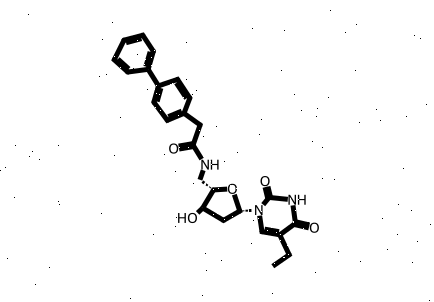 CCc1cn([C@@H]2CC(O)[C@H](CNC(=O)Cc3ccc(-c4ccccc4)cc3)O2)c(=O)[nH]c1=O